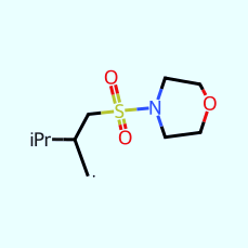 [CH2]C(CS(=O)(=O)N1CCOCC1)C(C)C